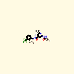 CC(=O)Nc1cc(C(=O)NCc2cccc(C(F)(F)F)c2C)cc(C)n1